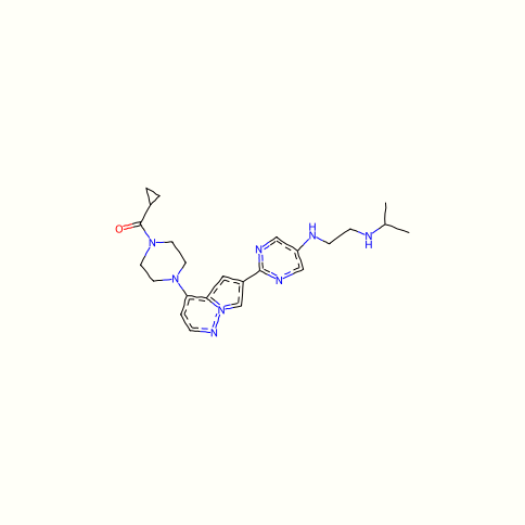 CC(C)NCCNc1cnc(-c2cc3c(N4CCN(C(=O)C5CC5)CC4)ccnn3c2)nc1